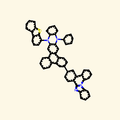 c1ccc(N2c3ccccc3N(c3cccc4c3sc3ccccc34)c3cc4c5ccccc5c5cc(-c6ccc7c(c6)c6ccccc6n6c8ccccc8nc76)ccc5c4cc32)cc1